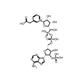 Nc1ncnc2c1ncn2[C@@H]1O[C@H](COP(=O)(O)OP(=O)(O)C(O)[C@@H]2O[C@@H]([n+]3cccc(CC(=O)O)c3)[C@H](O)[C@@H]2O)[C@@H](O)[C@H]1OP(=O)(O)O